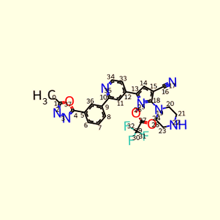 Cc1nnc(-c2cccc(-c3cc(-c4cc(C#N)c(N5CCNCC5)n4OC(=O)C(F)(F)F)ccn3)c2)o1